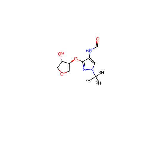 [2H]C([2H])([2H])n1cc(NC=O)c(O[C@H]2COC[C@@H]2O)n1